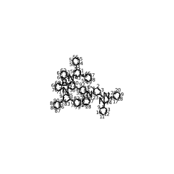 Cc1ccc(-c2nc(-c3ccccc3)cc(-c3ccccc3)n2)cc1-n1c2ccccc2c2cc(-c3cc4c5c(c3)N(c3cc(-c6ccccc6)cc(-c6ccccc6)c3)c3ccccc3B5c3ccccc3N4c3cc(-c4ccccc4)cc(-c4ccccc4)c3)ccc21